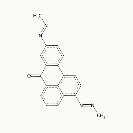 CN=Nc1ccc2c(c1)C(=O)c1cccc3c(N=NC)ccc-2c13